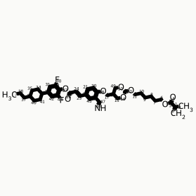 C=C(C)C(=O)OCCCCCCOC1OCC(COc2ccc(/C=C/C(=O)Oc3c(F)cc(C4CCC(CCC)CC4)cc3F)cc2C=N)CO1